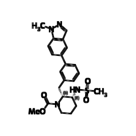 COC(=O)N1CCC[C@@H](NS(C)(=O)=O)[C@H]1Cc1cccc(-c2ccc3c(cnn3C)c2)c1